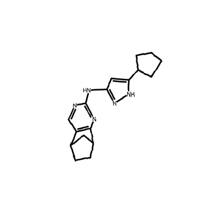 c1c(Nc2ncc3c(n2)C2CCC3C2)n[nH]c1C1CCCC1